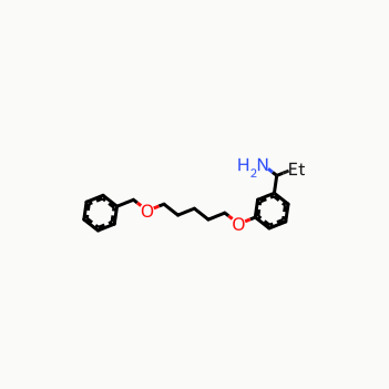 CCC(N)c1cccc(OCCCCCOCc2ccccc2)c1